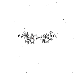 CC(C)[C@H]1CO[C@]23CC[C@H](N(Cc4ccc(C(F)(F)F)cc4)CC4CN(C(=O)OC(C)(C)C)C4)C[C@H]2CCC(=O)N13